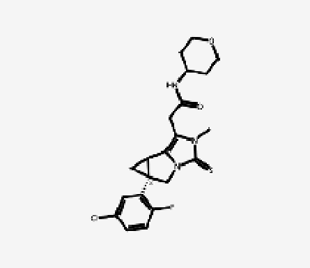 Cn1c(CC(=O)NC2CCOCC2)c2n(c1=S)C[C@@]1(c3cc(Cl)ccc3F)CC21